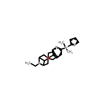 CCN1C2CN(c3ccc([N+](C)(C)c4cccs4)nc3)CC1C2C1CCCC1